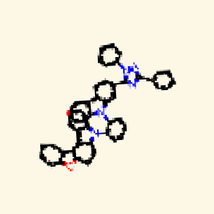 c1ccc(-c2nc(-c3ccc4c5ccccc5n(-c5ccccc5-n5c6ccccc6c6c7c(ccc65)oc5ccccc57)c4c3)n(-c3ccccc3)n2)cc1